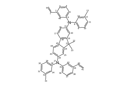 C=Cc1cccc(N(c2cccc(C)c2)c2ccc3c(c2)C(C)(C)c2cc(N(c4cccc(C)c4)c4cccc(C=C)c4)ccc2-3)c1